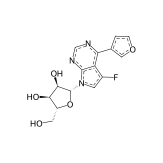 OC[C@H]1O[C@@H](n2cc(F)c3c(-c4ccoc4)ncnc32)[C@H](O)[C@@H]1O